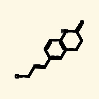 O=C1CCc2cc(C=CCCl)ccc2N1